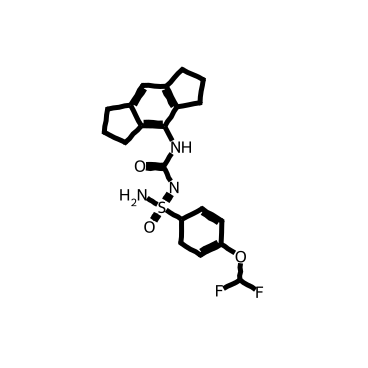 NS(=O)(=NC(=O)Nc1c2c(cc3c1CCC3)CCC2)C1C=CC(OC(F)F)=CC1